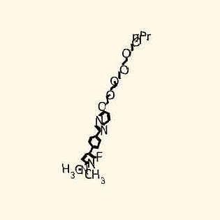 CCCOCCOCCOCCOCCOCCOc1ccc2nc(-c3ccc(-c4ccc(N(C)C)nc4F)cc3)cn2c1